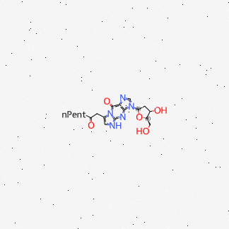 CCCCCC(=O)Cc1c[nH]c2nc3c(ncn3[C@H]3CC(O)[C@@H](CO)O3)c(=O)n12